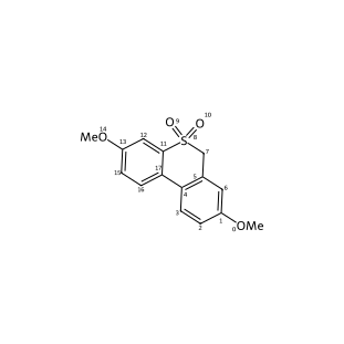 COc1ccc2c(c1)CS(=O)(=O)c1cc(OC)ccc1-2